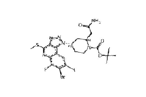 CSc1nc2c(F)c(Br)c(I)cc2c2c1nnn2[C@H]1CCN(C(=O)OC(C)(C)C)[C@H](CC(N)=O)C1